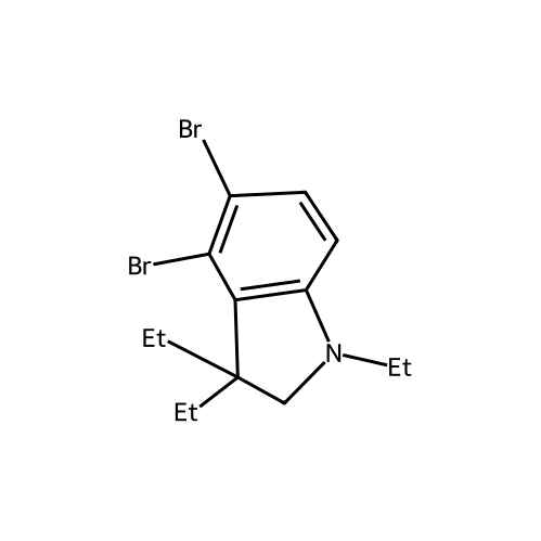 CCN1CC(CC)(CC)c2c1ccc(Br)c2Br